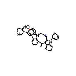 C=C1c2cccc(-c3ccc(O)c(C4=C(C)CCN=C4)c3)c2N(c2ccccc2)C/C=C\c2c1c1ccccc1n2-c1ccccc1